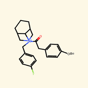 CC(C)COc1ccc(CC(=O)N(Cc2ccc(F)cc2)C2C3CCCC2CNC3)cc1